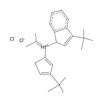 C[C](C)=[Hf+2]([C]1=CC(C(C)(C)C)=CC1)[CH]1C=C(C(C)(C)C)c2ccccc21.[Cl-].[Cl-]